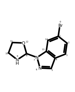 Brc1ccc2cnn(C3NCCO3)c2c1